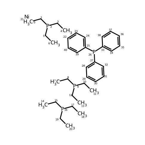 CCP(CC)CC.CCP(CC)CC.CCP(CC)CC.[Ni].c1ccc(P(c2ccccc2)c2ccccc2)cc1